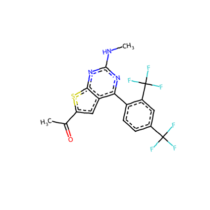 CNc1nc(-c2ccc(C(F)(F)F)cc2C(F)(F)F)c2cc(C(C)=O)sc2n1